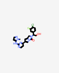 Cn1nccc1Nc1nccc(-c2cc3n(c2)C(=O)N(C(CO)c2ccc(Cl)c(F)c2)C3)n1